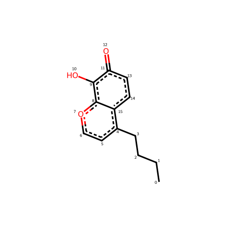 CCCCc1ccoc2c(O)c(=O)ccc1-2